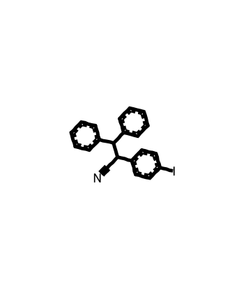 N#CC(c1ccc(I)cc1)C(c1ccccc1)c1ccccc1